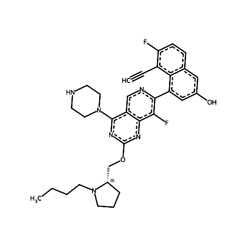 C#Cc1c(F)ccc2cc(O)cc(-c3ncc4c(N5CCNCC5)nc(OC[C@@H]5CCCN5CCCC)nc4c3F)c12